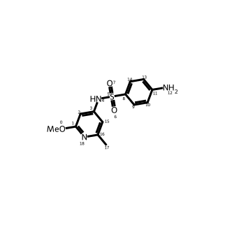 COc1cc(NS(=O)(=O)c2ccc(N)cc2)cc(C)n1